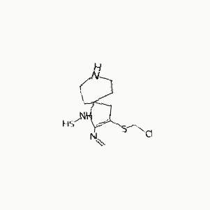 C=NC1=C(SCCl)CC2(CCNCC2)C1NS